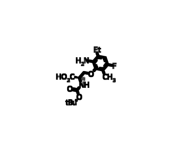 CCc1cc(F)c(C)c(OC[C@@H](NC(=O)OC(C)(C)C)C(=O)O)c1N